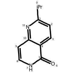 CC(C)c1ccc2c(=O)[nH]ccc2n1